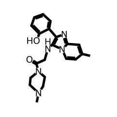 Cc1ccn2c(NCC(=O)N3CCN(C)CC3)c(-c3ccccc3O)nc2c1